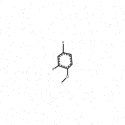 Fc1ccc(OI)c(F)c1